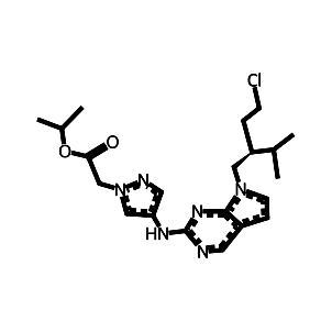 CC(C)OC(=O)Cn1cc(Nc2ncc3ccn(C[C@@H](CCCl)C(C)C)c3n2)cn1